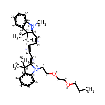 CCCOCCOCCN1/C(=C/C=C\C=C/C2=[N+](C)c3ccccc3C2(C)C)C(C)(C)c2ccccc21